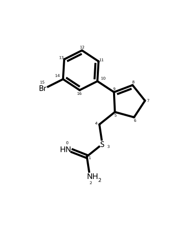 N=C(N)SCC1CCC=C1c1cccc(Br)c1